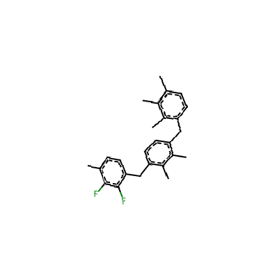 Cc1ccc(Cc2ccc(Cc3ccc(C)c(F)c3F)c(C)c2C)c(C)c1C